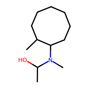 CC1CCCCCCC1N(C)C(C)O